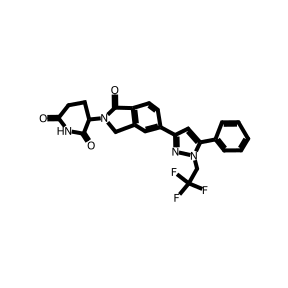 O=C1CCC(N2Cc3cc(-c4cc(-c5ccccc5)n(CC(F)(F)F)n4)ccc3C2=O)C(=O)N1